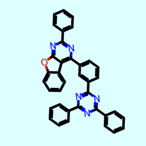 c1ccc(-c2nc(-c3ccccc3)nc(-c3cccc(-c4nc(-c5ccccc5)nc5oc6ccccc6c45)c3)n2)cc1